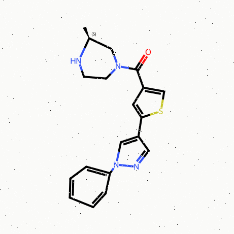 C[C@H]1CN(C(=O)c2csc(-c3cnn(-c4ccccc4)c3)c2)CCN1